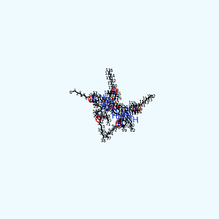 CCCCCCCCON1C(C)(C)CC(Nc2nc(NC(CCC)C3CC(C)(C)N(OCCCCCCCC)C(C)(C)C3)nc(N(CCCCCCN(c3nc(NC4CC(C)(C)N(OCCCCCCCC)C(C)(C)C4)nc(NC(CCC)C4CC(C)(C)N(OCCCCCCCC)C(C)(C)C4)n3)C3CC(C)(C)N(OCCCCCCCC)C(C)(C)C3)C3CC(C)(C)N(OCCCCCCCC)C(C)(C)C3)n2)CC1(C)C